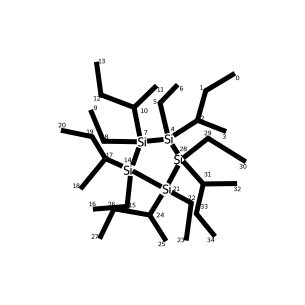 CCC(C)[Si]1(CC)[Si](CC)(C(C)CC)[Si](CC)(C(C)CC)[Si](CC)(C(C)CC)[Si]1(CC)C(C)CC